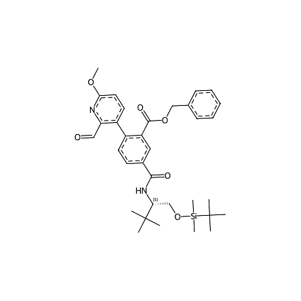 COc1ccc(-c2ccc(C(=O)N[C@H](CO[Si](C)(C)C(C)(C)C)C(C)(C)C)cc2C(=O)OCc2ccccc2)c(C=O)n1